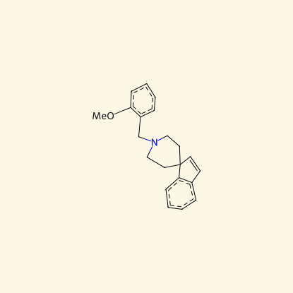 COc1ccccc1CN1CCC2(C=Cc3ccccc32)CC1